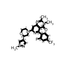 Cc1nc2cc(N3CCO[C@H](c4cnn(C)c4)C3)nc(-c3ccc(C(F)(F)F)cc3F)c2c(=O)n1C